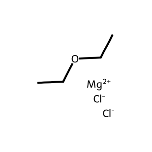 CCOCC.[Cl-].[Cl-].[Mg+2]